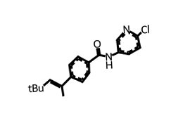 C/C(=C\C(C)(C)C)c1ccc(C(=O)Nc2ccc(Cl)nc2)cc1